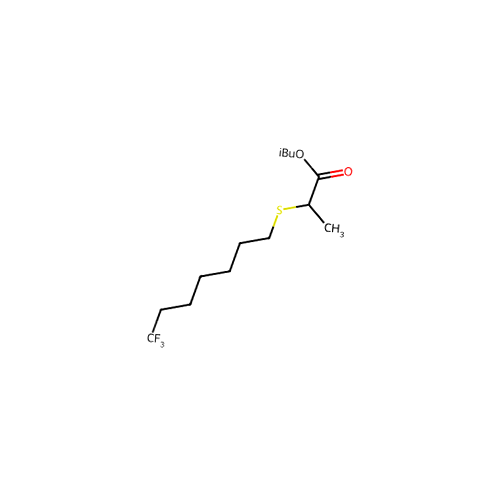 CC(C)COC(=O)C(C)SCCCCCCC(F)(F)F